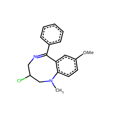 COc1ccc2c(c1)C(c1ccccc1)=NCC(Cl)CN2C